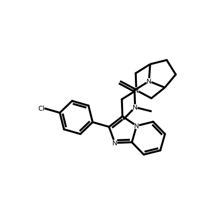 C=C(N(C)C)N1C2CCC1CN(Cc1c(-c3ccc(Cl)cc3)nc3ccccn13)C2